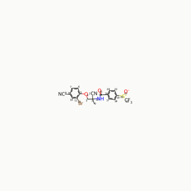 CC(C#N)(COc1ccc(C#N)cc1Br)NC(=O)c1ccc([S+]([O-])C(F)(F)F)cc1